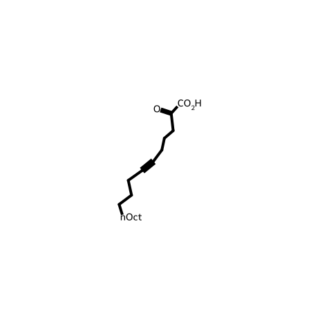 CCCCCCCCCCCC#CCCCC(=O)C(=O)O